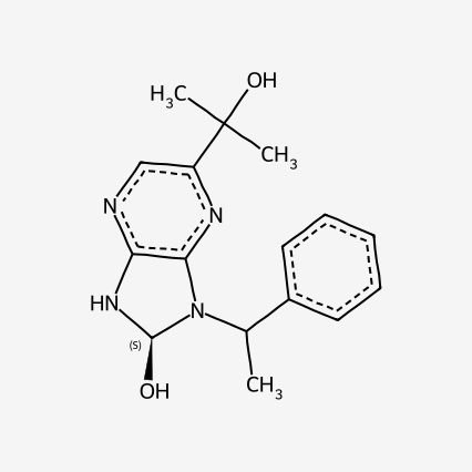 CC(c1ccccc1)N1c2nc(C(C)(C)O)cnc2N[C@@H]1O